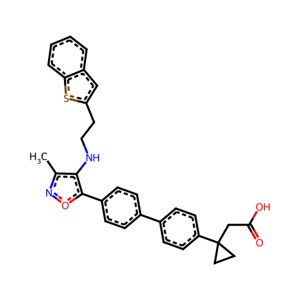 Cc1noc(-c2ccc(-c3ccc(C4(CC(=O)O)CC4)cc3)cc2)c1NCCc1cc2ccccc2s1